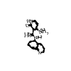 N=C(Nc1cccc2ncccc12)c1c(N)cc[nH]c1=O